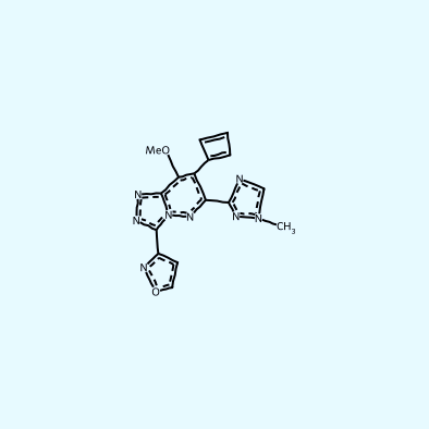 COc1c(C2=CC=C2)c(-c2ncn(C)n2)nn2c(-c3ccon3)nnc12